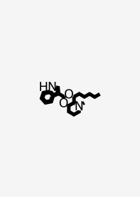 CCCCCC(OC(=O)c1c[nH]c2ccccc12)C1CCCCN1C